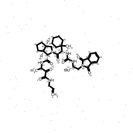 C=CCNC(=O)C(=O)C(C)NC(=O)[C@@H]1[C@H]2CCC[C@H]2CN1C(=O)[C@@H](NC(=O)N[C@H](CN1C(=O)c2ccccc2C1=O)C(C)(C)C)C1(C)CCCCC1